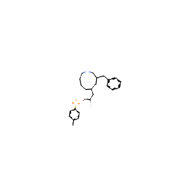 CCC(COS(=O)(=O)c1ccc(C)cc1)CC1CCCCNCC(Cc2ccccc2)C1